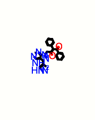 Nc1ncnc2c1c(-c1cn[nH]c1)nn2Cc1oc2ccccc2c(=O)c1-c1ccccc1